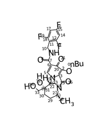 CCCCOc1c2n(cc(C(=O)NCc3c(F)cc(F)cc3F)c1=O)[C@@H]1CN(C2=O)[C@@H](C)CC[C@@]1(O)CO